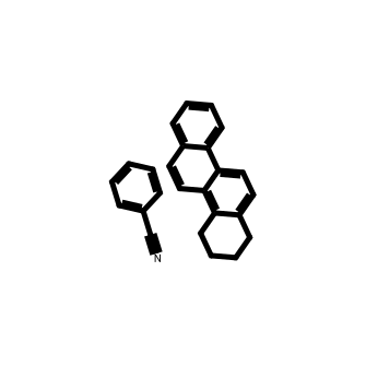 N#Cc1ccccc1.c1ccc2c(c1)ccc1c3c(ccc12)CCCC3